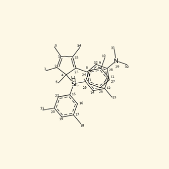 CC1=C(C)C(C)([SiH](c2cc(C)cc(C)c2)c2cc(C)cc(C)c2)C(c2cccc(N(C)C)c2)=C1C